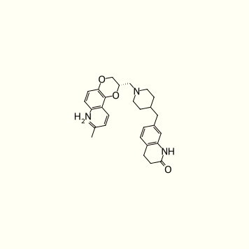 C=C(C)/C=C\c1c(N)ccc2c1O[C@@H](CN1CCC(Cc3ccc4c(c3)NC(=O)CC4)CC1)CO2